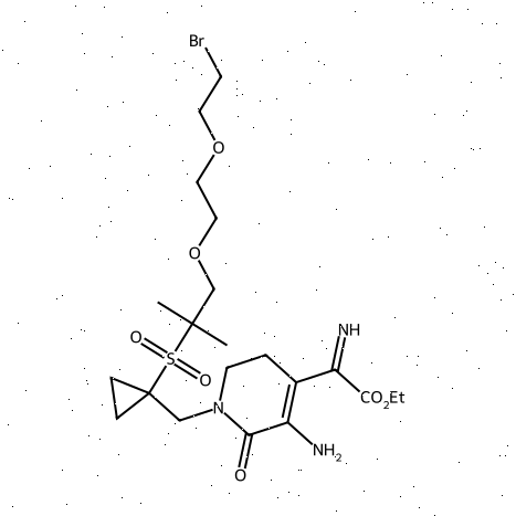 CCOC(=O)C(=N)C1=C(N)C(=O)N(CC2(S(=O)(=O)C(C)(C)COCCOCCBr)CC2)CC1